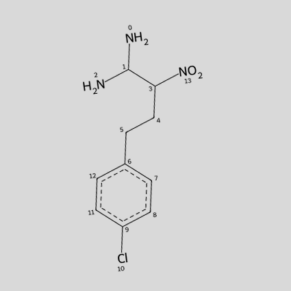 NC(N)C(CCc1ccc(Cl)cc1)[N+](=O)[O-]